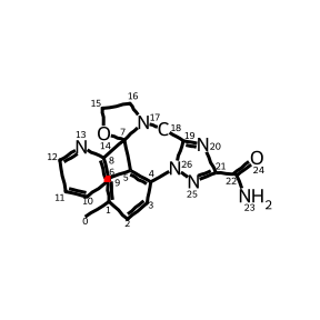 Cc1ccc2c(c1)C1(c3ccccn3)OCCN1Cc1nc(C(N)=O)nn1-2